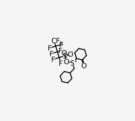 O=C1CCCCC1[S+](CC1CCCCC1)OS(=O)(=O)C(F)(F)C(F)(F)C(F)(F)C(F)(F)F